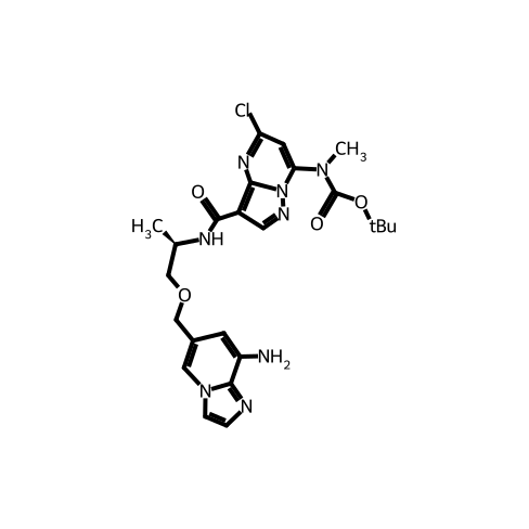 C[C@H](COCc1cc(N)c2nccn2c1)NC(=O)c1cnn2c(N(C)C(=O)OC(C)(C)C)cc(Cl)nc12